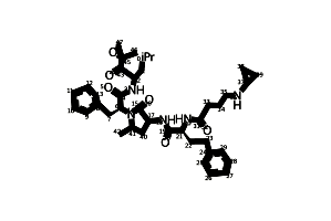 CC(C)CC(NC(=O)[C@H](Cc1ccccc1)N1C(=O)C(NC(=O)[C@H](CCc2ccccc2)NC(=O)CCCNC2CC2)CC1C)C(=O)C1(C)CO1